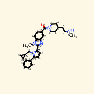 CNCCC1CCN(C(=O)c2ccc3c(c2)nc(-c2ccc(-c4ccccc4)n2CC2CC2)n3C)CC1